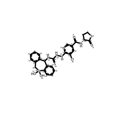 O=C(N[C@@H]1CCSC1=O)c1cnc(NNC(=S)NC2c3ccccc3CS(O)(O)c3ccccc32)c(Cl)c1